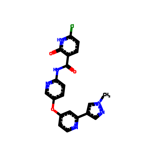 Cn1cc(-c2cc(Oc3ccc(NC(=O)c4ccc(Cl)[nH]c4=O)nc3)ccn2)cn1